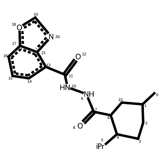 CC1CCC(C(C)C)C(C(=O)NNC(=O)c2cccc3ocnc23)C1